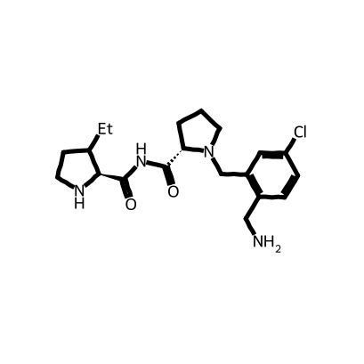 CCC1CCN[C@@H]1C(=O)NC(=O)[C@@H]1CCCN1Cc1cc(Cl)ccc1CN